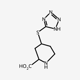 O=C(O)C1CC(Sc2nnn[nH]2)CCN1